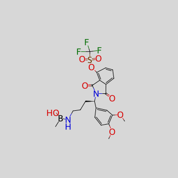 COc1ccc([C@@H](CCCNB(C)O)N2C(=O)c3cccc(OS(=O)(=O)C(F)(F)F)c3C2=O)cc1OC